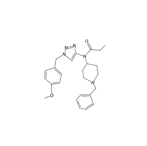 CCC(=O)N(c1cn(Cc2ccc(OC)cc2)nn1)C1CCN(Cc2ccccc2)CC1